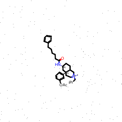 CC(=O)Oc1cccc([C@]23CC[N@@+](C)(CC(C)C)CC2CC[C@@H](NC(=O)CCCCCc2ccccc2)C3)c1